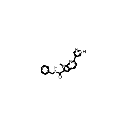 Cn1c(C(=O)NCc2ccccc2)cc2ccc(-c3cn[nH]c3)nc21